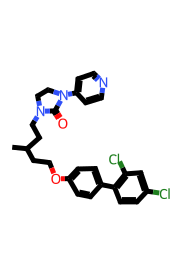 CC(CCOc1ccc(-c2ccc(Cl)cc2Cl)cc1)CCN1CCN(c2ccncc2)C1=O